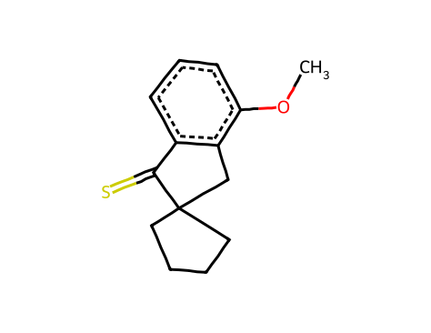 COc1cccc2c1CC1(CCCC1)C2=S